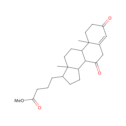 COC(=O)CCCC1CCC2C3C(=O)CC4=CC(=O)CCC4(C)C3CCC12C